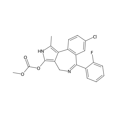 COC(=O)Oc1[nH]c(C)c2c1CN=C(c1ccccc1F)c1cc(Cl)ccc1-2